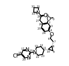 COc1cc(OCC[C@@H]2C[C@@H]2C2CCN(c3ncc(Cl)cn3)CC2)ccc1CC(=O)N1CCC1